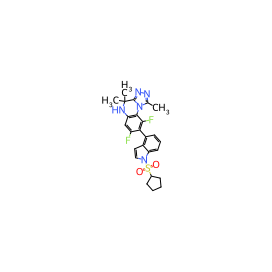 Cc1nnc2n1-c1c(cc(F)c(-c3cccc4c3ccn4S(=O)(=O)C3CCCC3)c1F)NC2(C)C